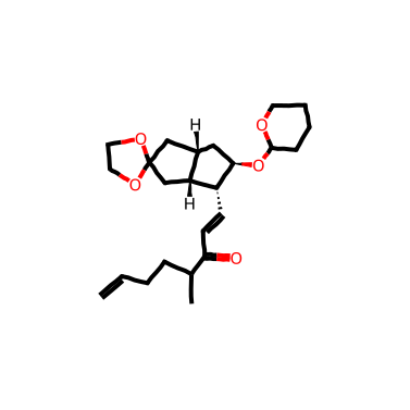 C=CCCC(C)C(=O)C=C[C@@H]1[C@@H]2CC3(C[C@@H]2C[C@H]1OC1CCCCO1)OCCO3